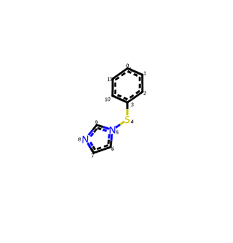 [c]1ccc(Sn2ccnc2)cc1